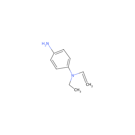 C=CN(CC)c1ccc(N)cc1